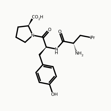 CC(C)C[C@H](N)C(=O)N[C@@H](Cc1ccc(O)cc1)C(=O)N1CCC[C@H]1C(=O)O